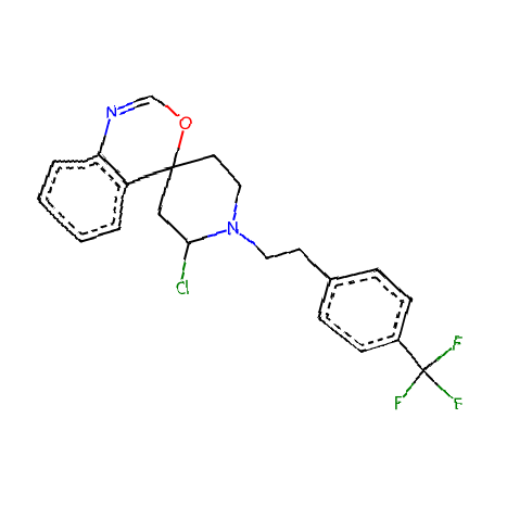 FC(F)(F)c1ccc(CCN2CCC3(CC2Cl)OC=Nc2ccccc23)cc1